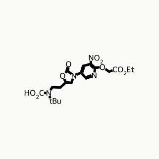 CCOC(=O)COc1ncc(N2CC(CCN(C(=O)O)C(C)(C)C)OC2=O)cc1[N+](=O)[O-]